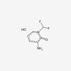 Cl.Nc1cccn(C(F)F)c1=O